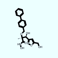 C[C@@](OCc1ccc(-c2ccccc2)cc1)(C(=O)NO)[C@@H](O)c1cc(CO)on1